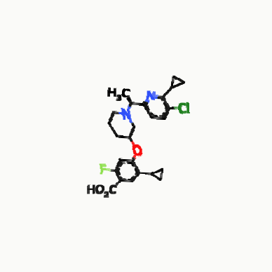 C[C@@H](c1ccc(Cl)c(C2CC2)n1)N1CCCC(Oc2cc(F)c(C(=O)O)cc2C2CC2)C1